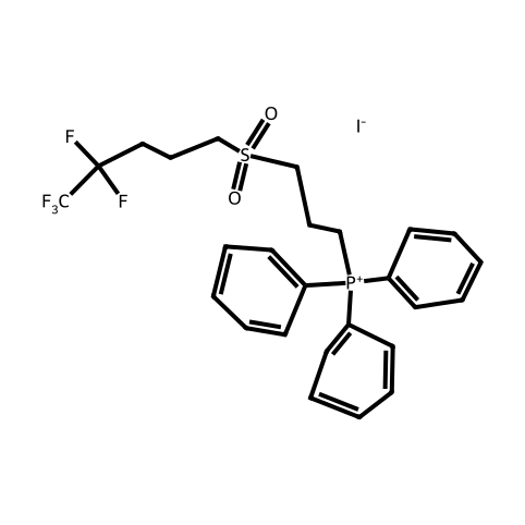 O=S(=O)(CCCC(F)(F)C(F)(F)F)CCC[P+](c1ccccc1)(c1ccccc1)c1ccccc1.[I-]